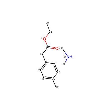 CCOC(=O)Cc1ccc(C)cc1.CNC